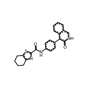 O=C(Nc1ccc(-c2c(=O)[nH]cc3ccccc23)cc1)c1nc2c(s1)CCCC2